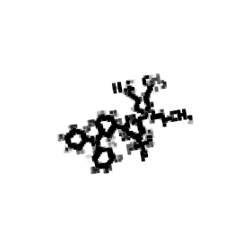 CCC[CH2][Sn]([CH2]CCC)([CH2]CCC)[c]1cc(C(F)(F)F)cc(-c2cccc(N(c3ccccc3)c3ccccc3)c2)n1